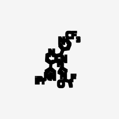 C=C(F)C(=O)N1CC(n2nc(-c3ccc(C(F)(F)F)nc3)c3nccc(-c4cnn(C(C)C)c4)c32)C1